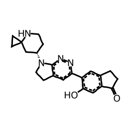 O=C1CCc2cc(-c3cc4c(nn3)N([C@H]3CCNC5(CC5)C3)CC4)c(O)cc21